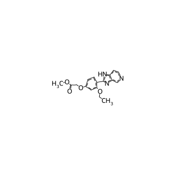 CCOc1cc(OCC(=O)OC)ccc1-c1nc2cnccc2[nH]1